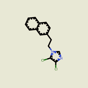 Clc1ncn(CCc2ccc3ccccc3c2)c1Cl